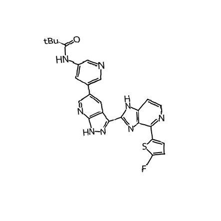 CC(C)(C)C(=O)Nc1cncc(-c2cnc3[nH]nc(-c4nc5c(-c6ccc(F)s6)nccc5[nH]4)c3c2)c1